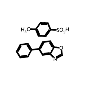 Cc1ccc(S(=O)(=O)O)cc1.c1ccc(-c2ccc3ocnc3c2)cc1